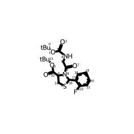 CC(C)(C)OC(=O)NCC(=O)N1C(C(=O)OC(C)(C)C)CSC1c1ccccc1F